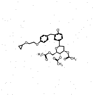 CC(=O)OC[C@H]1OC(c2ccc(Cl)c(Cc3ccc(OCCOC4CC4)cc3)c2)C[C@@H](OC(C)=O)[C@@H]1OC(C)=O